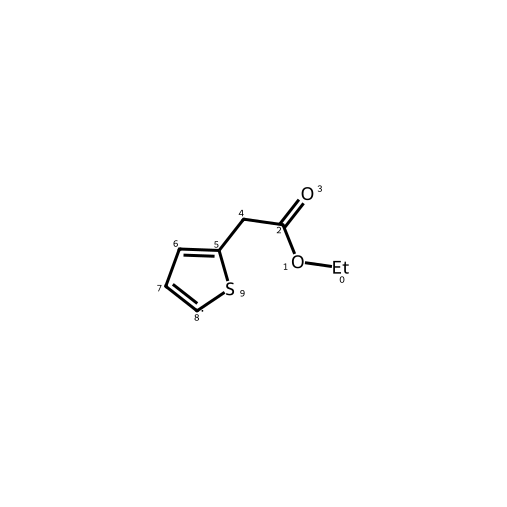 CCOC(=O)Cc1cc[c]s1